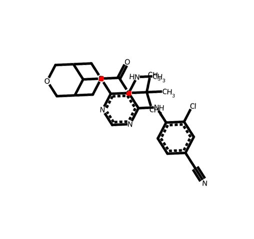 CNc1c(Nc2ccc(C#N)cc2Cl)ncnc1OC1C2COCC1CN(C(=O)OC(C)(C)C)C2